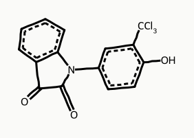 O=C1C(=O)N(c2ccc(O)c(C(Cl)(Cl)Cl)c2)c2ccccc21